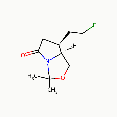 CC1(C)OC[C@@H]2[C@H](CCF)CC(=O)N21